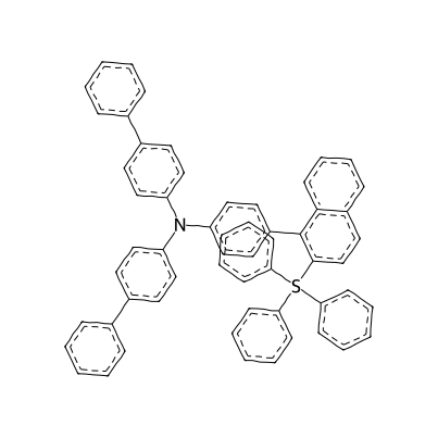 c1ccc(-c2ccc(N(c3ccc(-c4ccccc4)cc3)c3ccc(-c4c(S(c5ccccc5)(c5ccccc5)c5ccccc5)ccc5ccccc45)cc3)cc2)cc1